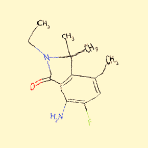 CCN1C(=O)c2c(N)c(F)cc(C)c2C1(C)C